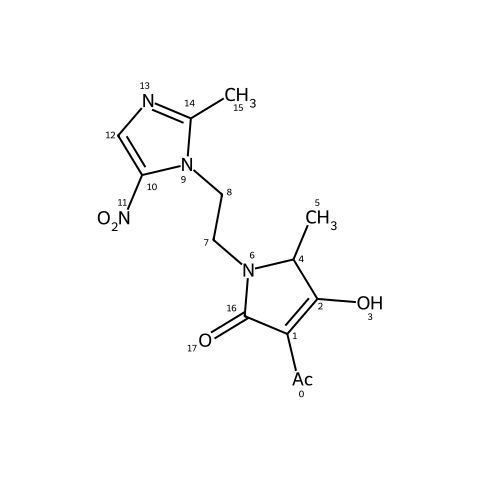 CC(=O)C1=C(O)C(C)N(CCn2c([N+](=O)[O-])cnc2C)C1=O